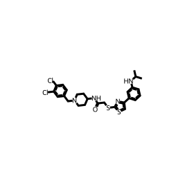 CC(C)Nc1cccc(-c2csc(SCC(=O)NC3CCN(Cc4ccc(Cl)c(Cl)c4)CC3)n2)c1